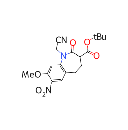 COc1cc2c(cc1[N+](=O)[O-])CCC(C(=O)OC(C)(C)C)C(=O)N2CC#N